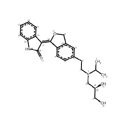 CC(C)N(CCc1ccc2c(c1)COC2=C1C(=O)Nc2ccccc21)C[C@@H](O)CO